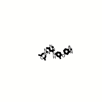 Cc1cc(Nc2ncnc3cnc(N4CC(C)OC(C)C4)nc23)ccc1Oc1ccc2c(c1)ncn2C